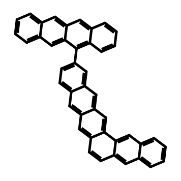 c1ccc2cc3c(-c4ccc5cc6cc7ccc8cc9ccccc9cc8c7cc6cc5c4)c4ccccc4cc3cc2c1